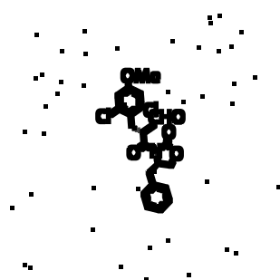 COc1cc(Cl)c(C[C@H](CC=O)C(=O)N2C(=O)OC[C@H]2Cc2ccccc2)c(Cl)c1